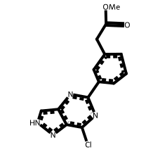 COC(=O)Cc1cccc(-c2nc(Cl)c3n[nH]cc3n2)c1